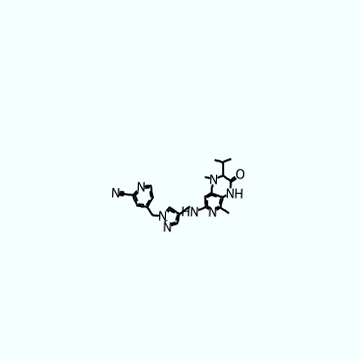 Cc1nc(NCc2cnn(Cc3ccnc(C#N)c3)c2)cc2c1NC(=O)C(C(C)C)N2C